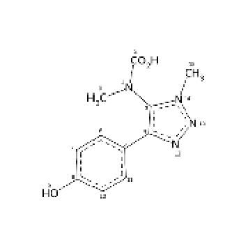 CN(C(=O)O)c1c(-c2ccc(O)cc2)nnn1C